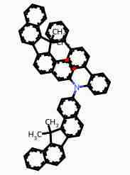 CC1(C)c2c(ccc3ccccc23)-c2ccc3cc(N(c4ccc5c6c(ccc5c4)-c4ccc5ccccc5c4C6(C)C)c4ccccc4-c4ccc(-c5ccccc5)cc4)ccc3c21